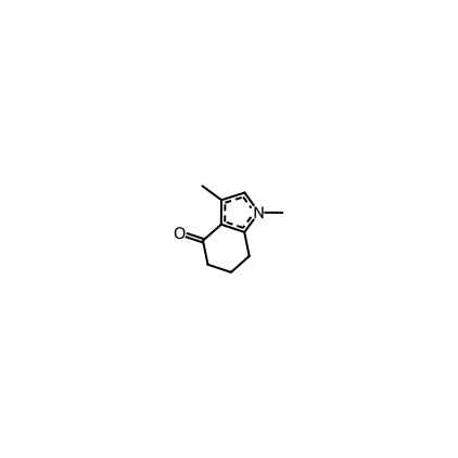 Cc1cn(C)c2c1C(=O)CCC2